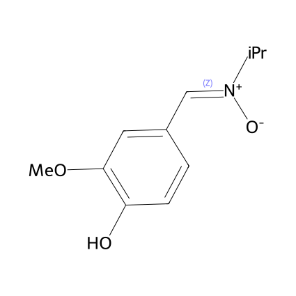 COc1cc(/C=[N+](\[O-])C(C)C)ccc1O